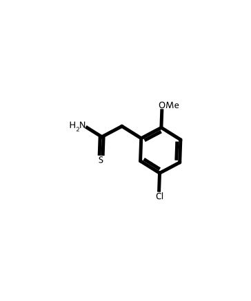 COc1ccc(Cl)cc1CC(N)=S